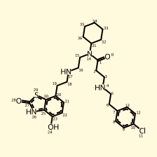 O=C(CCNCCc1ccc(Cl)cc1)N(CCNCCc1ccc(O)c2[nH]c(=O)sc12)C1CCCCC1